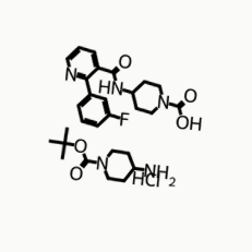 CC(C)(C)OC(=O)N1CCC(N)CC1.Cl.O=C(NC1CCN(C(=O)O)CC1)c1cccnc1-c1cccc(F)c1